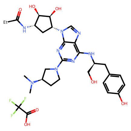 CCC(=O)N[C@H]1C[C@@H](n2cnc3c(N[C@H](CO)Cc4ccc(O)cc4)nc(N4CC[C@@H](N(C)C)C4)nc32)[C@H](O)[C@@H]1O.O=C(O)C(F)(F)F